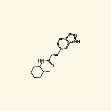 C[C@@H]1CCCC[C@H]1NC(=O)/C=C/c1ccc2cn[nH]c2c1